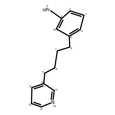 CCCc1cccc(CCCCc2cccnc2)c1